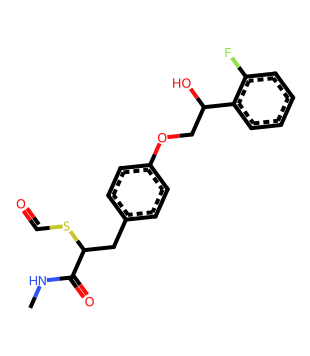 CNC(=O)C(Cc1ccc(OCC(O)c2ccccc2F)cc1)SC=O